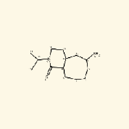 BC1CCCCC2C(=S)N(C(C)C)CCC2C1